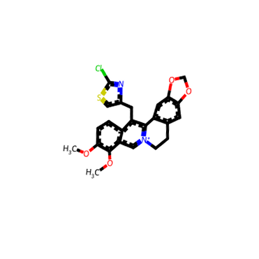 COc1ccc2c(Cc3csc(Cl)n3)c3[n+](cc2c1OC)CCc1cc2c(cc1-3)OCO2